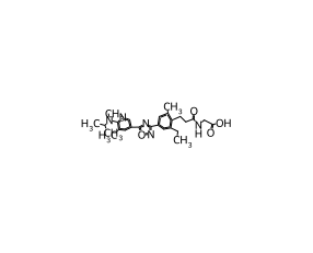 CCc1cc(-c2noc(-c3cnc(N(C)C(C)C)c(C)c3)n2)cc(C)c1CCC(=O)NCC(=O)O